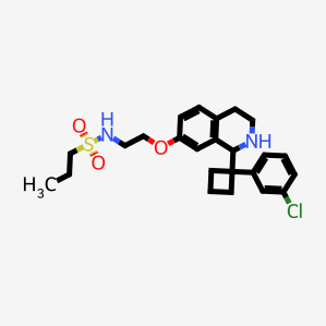 CCCS(=O)(=O)NCCOc1ccc2c(c1)C(C1(c3cccc(Cl)c3)CCC1)NCC2